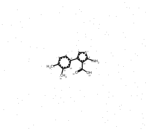 Cc1ccc(-c2csc(N)c2C(=O)O)cc1C